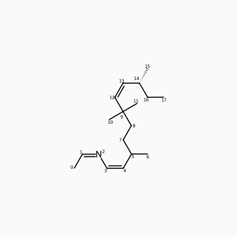 C/C=N\C=C/C(C)CCC(C)(C)/C=C\[C@H](C)CC